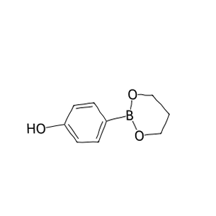 Oc1ccc(B2OCCCO2)cc1